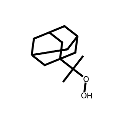 CC(C)(OO)C12CC3CC(CC(C3)C1)C2